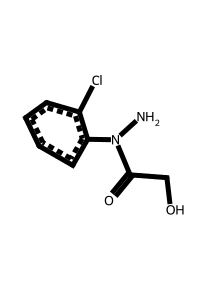 NN(C(=O)CO)c1ccccc1Cl